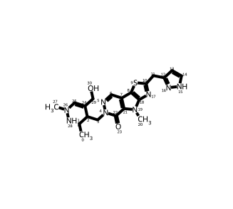 CCC(Cn1ncc2c3sc(Cc4cc[nH]n4)nc3n(C)c2c1=O)/C(=C\N(C)N)CO